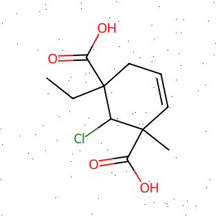 CCC1(C(=O)O)CC=CC(C)(C(=O)O)C1Cl